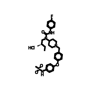 CC[C@H](C)CN(C(=O)Nc1ccc(F)cc1)C1CCN(Cc2ccc(Oc3ccc(NS(C)(=O)=O)cc3)cc2)CC1.Cl